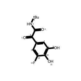 CC(C)(C)NC(=O)C(=O)c1cc(O)c(O)c(F)c1